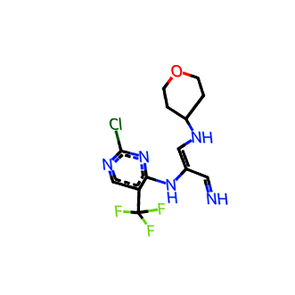 N=C/C(=C\NC1CCOCC1)Nc1nc(Cl)ncc1C(F)(F)F